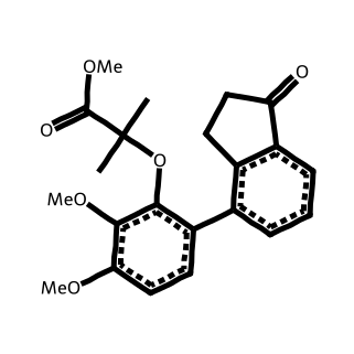 COC(=O)C(C)(C)Oc1c(-c2cccc3c2CCC3=O)ccc(OC)c1OC